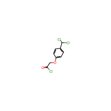 O=C(Cl)COc1ccc(C(Cl)Cl)cc1